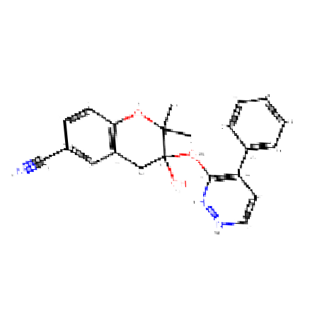 CC1(C)Oc2ccc(C#N)cc2CC1(O)Oc1nnccc1-c1ccccc1